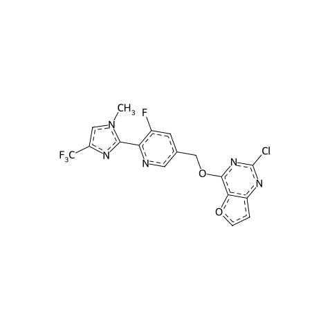 Cn1cc(C(F)(F)F)nc1-c1ncc(COc2nc(Cl)nc3ccoc23)cc1F